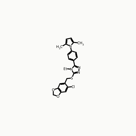 CCn1c(SCc2cc3c(cc2Cl)OCO3)nnc1-c1ccc(-n2c(C)ccc2C)cc1